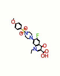 CCn1cc(C(=O)O)c(=O)c2cc(F)c(N3CCN(S(=O)(=O)c4ccc(OC)cc4)CC3)cc21